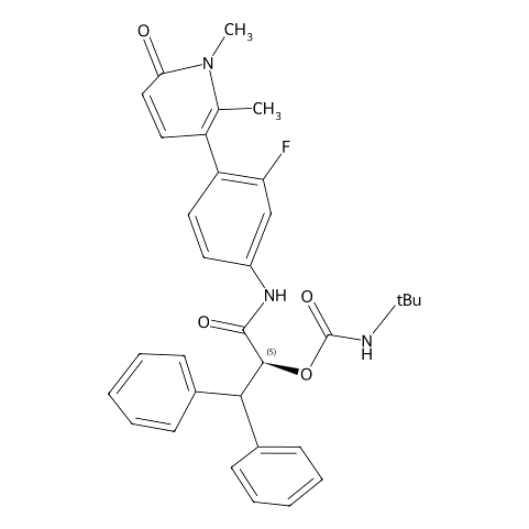 Cc1c(-c2ccc(NC(=O)[C@@H](OC(=O)NC(C)(C)C)C(c3ccccc3)c3ccccc3)cc2F)ccc(=O)n1C